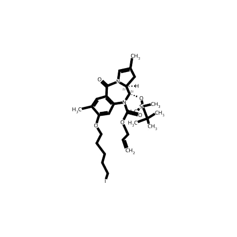 C=CCOC(=O)N1c2cc(OCCCCCI)c(C)cc2C(=O)N2C=C(C)C[C@H]2[C@@H]1O[Si](C)(C)C(C)(C)C